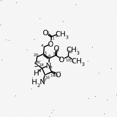 CC(=O)OCC1=C(C(=O)OC(C)C)N2C(=O)C(N)[C@@H]2SC1